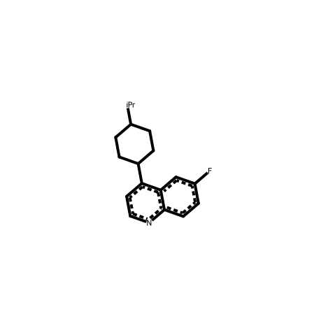 CC(C)C1CCC(c2ccnc3ccc(F)cc23)CC1